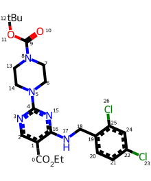 CCOC(=O)c1cnc(N2CCN(C(=O)OC(C)(C)C)CC2)nc1NCc1ccc(Cl)cc1Cl